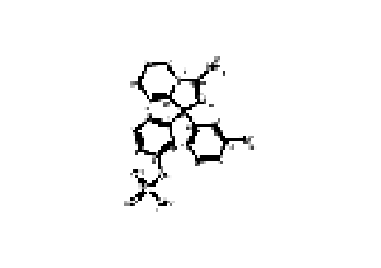 CCCS(=O)(=O)Oc1cccc(C2(c3cccc(Br)c3)N=C(N)N3CCCN=C32)c1